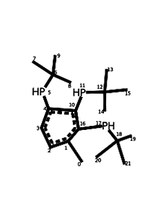 Cc1ccc(PC(C)(C)C)c(PC(C)(C)C)c1PC(C)(C)C